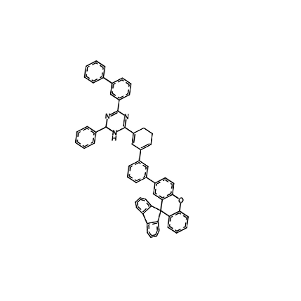 C1=C(C2=NC(c3cccc(-c4ccccc4)c3)=NC(c3ccccc3)N2)CCC=C1c1cccc(-c2ccc3c(c2)C2(c4ccccc4O3)c3ccccc3-c3ccccc32)c1